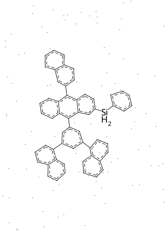 c1ccc([SiH2]c2ccc3c(-c4ccc5ccccc5c4)c4ccccc4c(-c4cc(-c5cccc6ccccc56)cc(-c5cccc6ccccc56)c4)c3c2)cc1